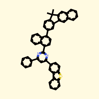 CC1(C)c2ccc(-c3ccc(-c4nc(-c5ccccc5)cc(-c5ccc6sc7ccccc7c6c5)n4)c4ccccc34)cc2-c2cc3ccccc3cc21